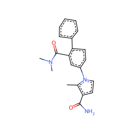 Cc1c(C(N)=O)ccn1-c1ccc(-c2ccccc2)c(C(=O)N(C)C)c1